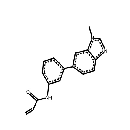 C=CC(=O)Nc1cccc(-c2ccc3ncn(C)c3c2)c1